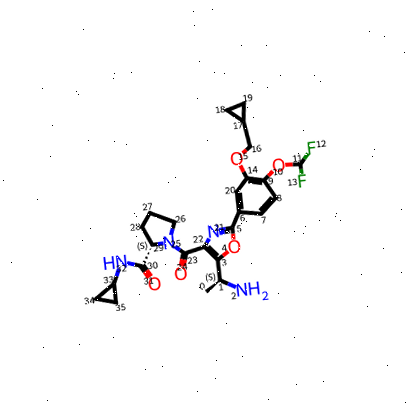 C[C@H](N)c1oc(-c2ccc(OC(F)F)c(OCC3CC3)c2)nc1C(=O)N1CCC[C@H]1C(=O)NC1CC1